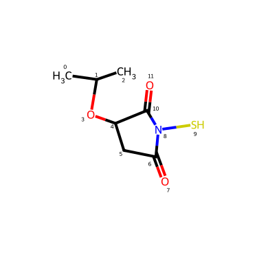 CC(C)OC1CC(=O)N(S)C1=O